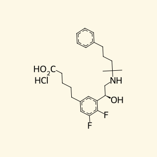 CC(C)(CCCc1ccccc1)NC[C@@H](O)c1cc(CCCCC(=O)O)cc(F)c1F.Cl